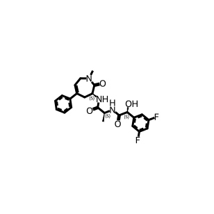 C[C@H](NC(=O)[C@@H](O)c1cc(F)cc(F)c1)C(=O)N[C@H]1CC(c2ccccc2)=CCN(C)C1=O